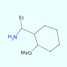 CCC(N)C1CCCCC1OC